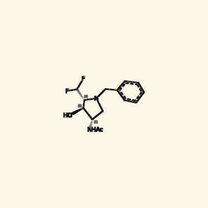 CC(=O)N[C@H]1CN(Cc2ccccc2)[C@@H](C(F)F)[C@@H]1O